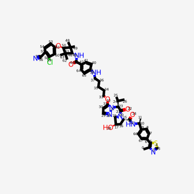 Cc1ncsc1-c1ccc([C@H](C)NC(=O)[C@@H]2C[C@@H](O)CN2C(=O)[C@H](C(C)C)n2nccc2OCCCCCNc2ccc(C(=O)N[C@H]3C(C)(C)[C@H](Oc4ccc(C#N)c(Cl)c4)C3(C)C)cc2)cc1